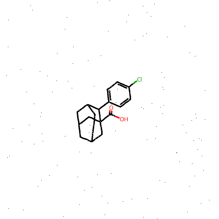 O=C(O)C12CC3CC(CC(C3)C1c1ccc(Cl)cc1)C2